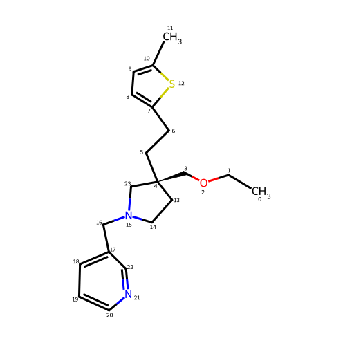 CCOC[C@@]1(CCc2ccc(C)s2)CCN(Cc2cccnc2)C1